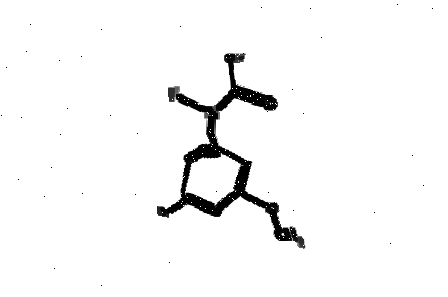 COc1cc(Br)cc(N(F)C(=O)O)c1